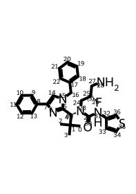 CC(C)(C)[C@H](c1nc(-c2ccccc2)cn1Cc1ccccc1)N(C[C@@H](F)CN)C(=O)Nc1ccsc1